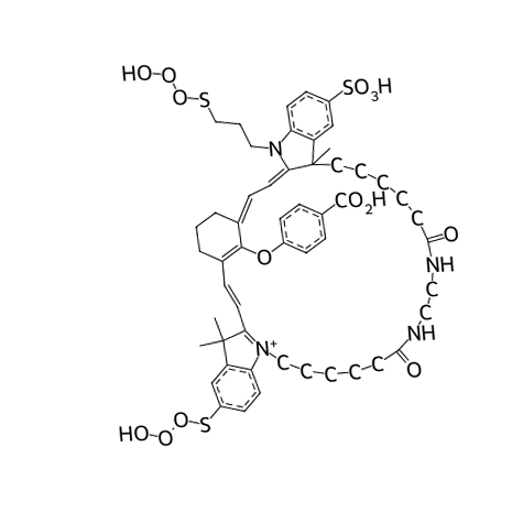 CC1(C)C2=[N+](CCCCCC(=O)NCCNC(=O)CCCCCC3(C)/C(=C/C=C4\CCCC(=C4Oc4ccc(C(=O)O)cc4)/C=C/2)N(CCCSOOO)c2ccc(S(=O)(=O)O)cc23)c2ccc(SOOO)cc21